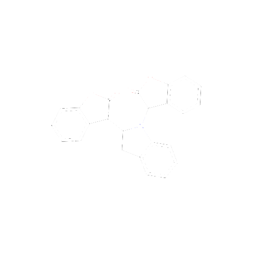 O=C1Oc2ccccc2C1C1Cc2ccccc2N1C1C(=O)Oc2ccccc21